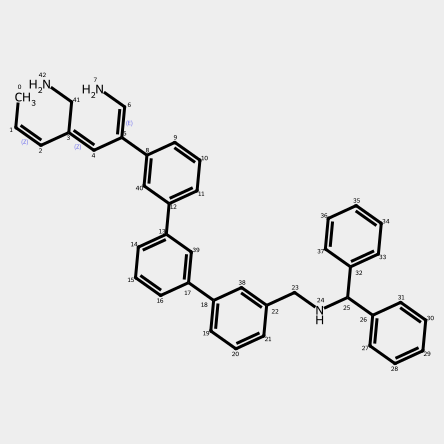 C\C=C/C(=C/C(=C\N)c1cccc(-c2cccc(-c3cccc(CNC(c4ccccc4)c4ccccc4)c3)c2)c1)CN